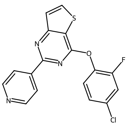 Fc1cc(Cl)ccc1Oc1nc(-c2ccncc2)nc2ccsc12